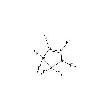 FC1=C(F)C(F)(F)C(F)(F)C1F